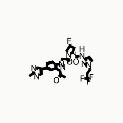 CC(=O)c1nn(CC(=O)N2C[C@H](F)C[C@H]2C(=O)Nc2ccn(CCC(F)(F)F)n2)c2ccc(-c3cnc(C)nc3)cc12